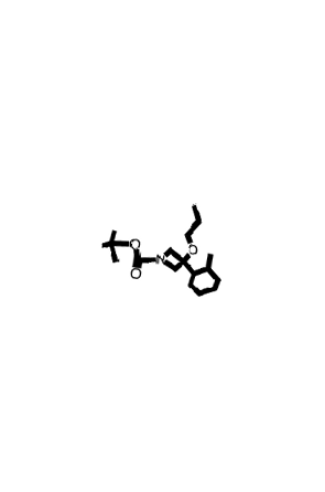 CCCOC1(C2CCCCC2C)CN(C(=O)OC(C)(C)C)C1